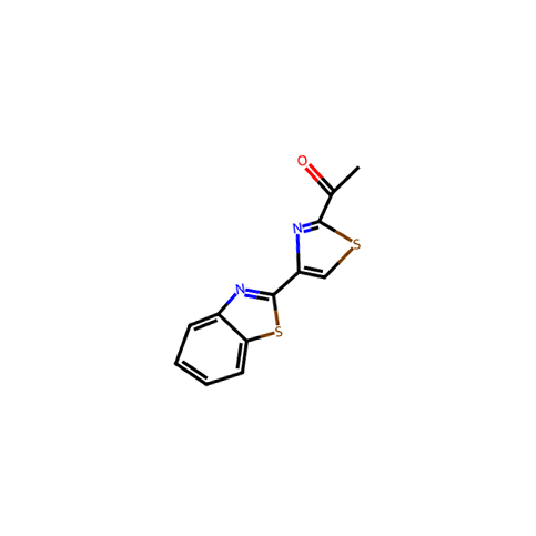 CC(=O)c1nc(-c2nc3ccccc3s2)cs1